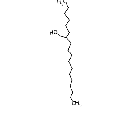 CCCCCCCCCCCC(CO)CCCCCC